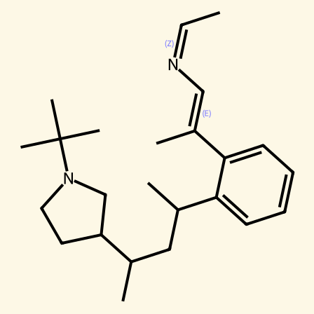 C/C=N\C=C(/C)c1ccccc1C(C)CC(C)C1CCN(C(C)(C)C)C1